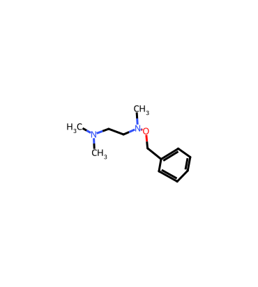 CN(C)CCN(C)OCc1ccccc1